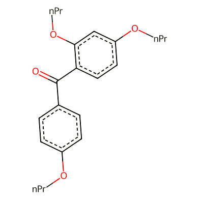 CCCOc1ccc(C(=O)c2ccc(OCCC)cc2OCCC)cc1